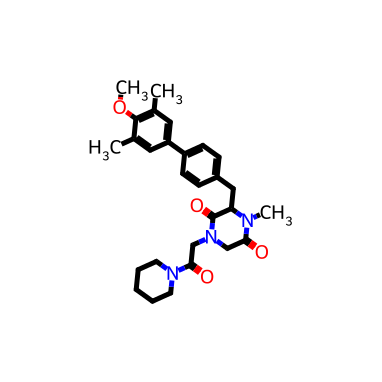 COc1c(C)cc(-c2ccc(CC3C(=O)N(CC(=O)N4CCCCC4)CC(=O)N3C)cc2)cc1C